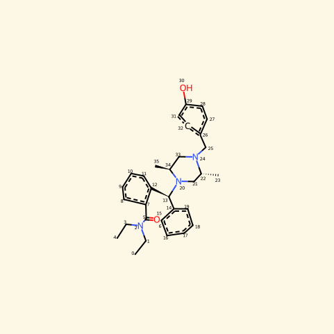 CCN(CC)C(=O)c1ccccc1[C@H](c1ccccc1)N1C[C@@H](C)N(Cc2ccc(O)cc2)C[C@@H]1C